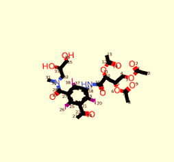 CC(=O)OCC(OC(C)=O)C(OC(C)=O)C(=O)Nc1c(I)c(C(C)=O)c(I)c(C(=O)N(C)CC(O)CO)c1I